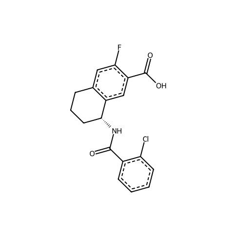 O=C(O)c1cc2c(cc1F)CCC[C@H]2NC(=O)c1ccccc1Cl